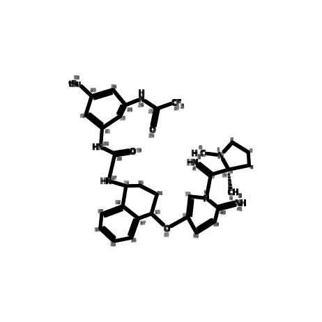 CN1CCC[C@@]1(C)C(=N)n1cc(OC2CCC(NC(=O)Nc3cc(NC(=O)C(F)(F)F)cc(C(C)(C)C)c3)c3ccccc32)ccc1=N